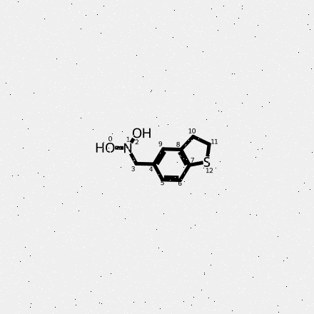 ON(O)Cc1ccc2c(c1)CCS2